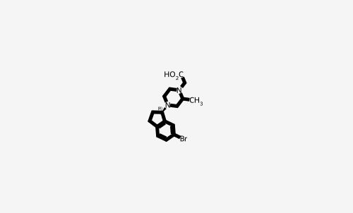 CC1CN([C@@H]2CCc3ccc(Br)cc32)CCN1CC(=O)O